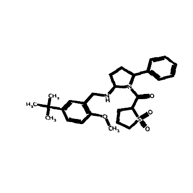 COc1ccc(C(C)(C)C)cc1CNC1CCC(c2ccccc2)N1C(=O)C1CCCS1(=O)=O